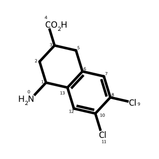 NC1CC(C(=O)O)Cc2cc(Cl)c(Cl)cc21